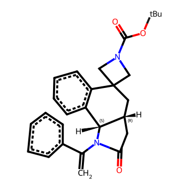 C=C(c1ccccc1)N1C(=O)C[C@H]2CC3(CN(C(=O)OC(C)(C)C)C3)c3ccccc3[C@H]21